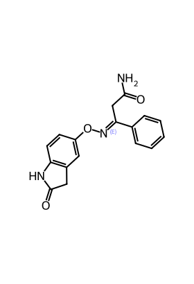 NC(=O)C/C(=N\Oc1ccc2c(c1)CC(=O)N2)c1ccccc1